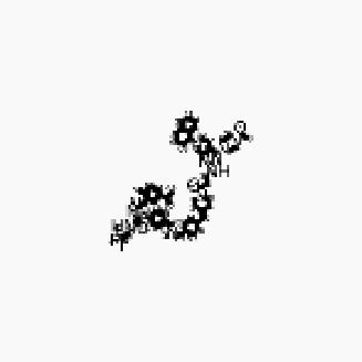 CC(=O)N1CCN(c2nc(NCCC(=O)N3CCC(Cc4ccc(CN(C)Cc5ccc(-n6c(C(=O)NCC(F)(F)F)nnc6-c6cc(C(C)C)ccc6C)cc5)cc4)CC3)nc3c2CCN(c2cccc4ccccc24)C3)CC1